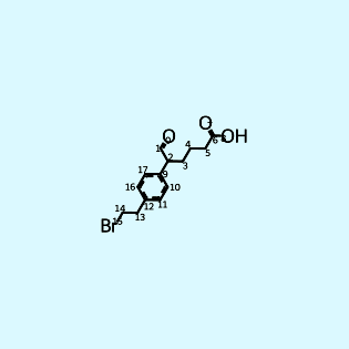 O=CC(CCCC(=O)O)c1ccc(CCBr)cc1